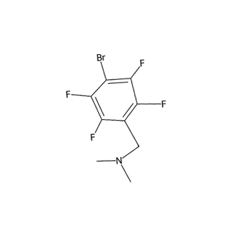 CN(C)Cc1c(F)c(F)c(Br)c(F)c1F